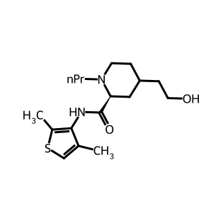 CCCN1CCC(CCO)C[C@H]1C(=O)Nc1c(C)csc1C